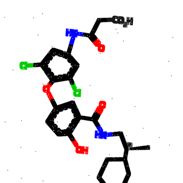 C[C@@H](CNC(=O)c1cc(Oc2c(Cl)cc(NC(=O)CC(=O)O)cc2Cl)ccc1O)C1CCCCC1